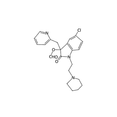 O=COC1(Cc2ccccn2)C(=O)N(CCN2CCCCC2)c2ccc(Cl)cc21